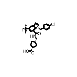 O=C(NC[C@H]1CC[C@H](C(=O)O)CC1)c1cc(C(F)(F)F)cc2ccn(Cc3ccc(Cl)cc3)c12